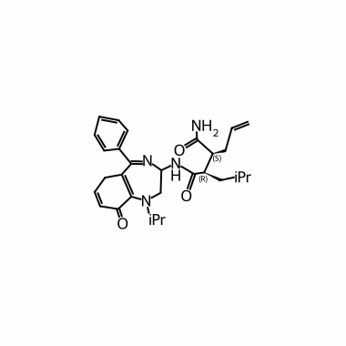 C=CC[C@H](C(N)=O)[C@@H](CC(C)C)C(=O)NC1CN(C(C)C)C2=C(CC=CC2=O)C(c2ccccc2)=N1